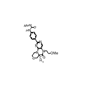 CNC(=O)Nc1ccc(-c2ncc3c(n2)N2CCOCC2(C)C(=O)N3CCOC)cc1